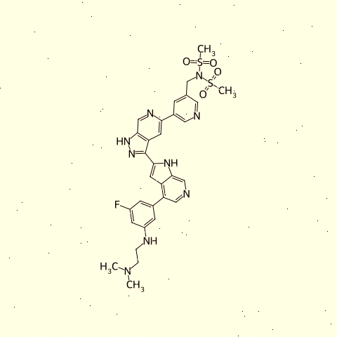 CN(C)CCNc1cc(F)cc(-c2cncc3[nH]c(-c4n[nH]c5cnc(-c6cncc(CN(S(C)(=O)=O)S(C)(=O)=O)c6)cc45)cc23)c1